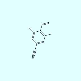 C=Cc1c(C)cc(C#N)cc1C